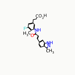 Cc1c(F)cc(CCC(=O)O)cc1NC(=O)C=Cc1ccc2c(C)n[nH]c2c1